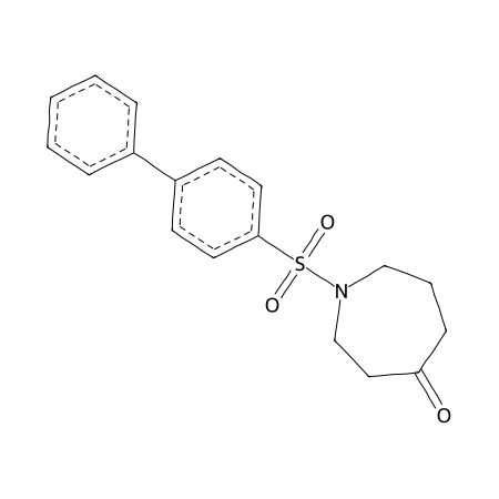 O=C1CCCN(S(=O)(=O)c2ccc(-c3ccccc3)cc2)CC1